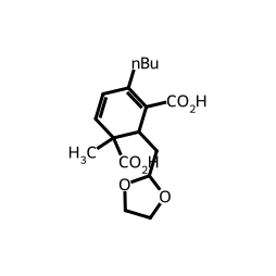 CCCCC1=C(C(=O)O)C(CC2OCCO2)C(C)(C(=O)O)C=C1